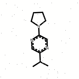 CC(C)c1cnc(N2CCCC2)cn1